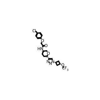 O=C(COc1ccc(Cl)cc1)N[C@@H]1CC[C@@H](c2cn([C@H]3C[C@@H](OC(F)(F)F)C3)nn2)OC1